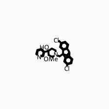 COc1ncccc1C1(O)CCN(CC23CC(c4ccc(Cl)cc42)c2ccc(Cl)cc23)CC1